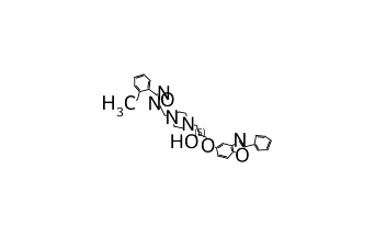 CCc1ccccc1-c1noc(CN2CCN(C[C@H](O)COc3ccc4oc(-c5ccccc5)nc4c3)CC2)n1